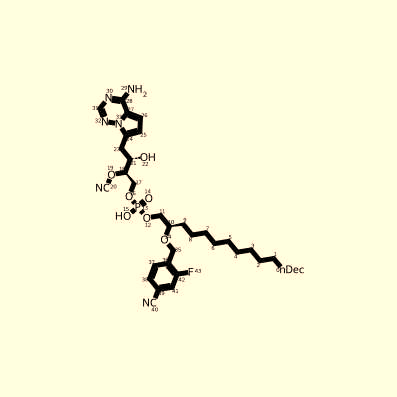 CCCCCCCCCCCCCCCCCCC[C@H](COP(=O)(O)OC[C@@H](OC#N)[C@@H](O)Cc1ccc2c(N)ncnn12)OCc1ccc(C#N)cc1F